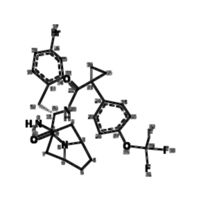 NC1CC2CCC(C1)N2C(=O)[C@H](Cc1ccc(Br)cc1)NC(=O)C1(c2ccc(OC(F)(F)F)cc2)CC1